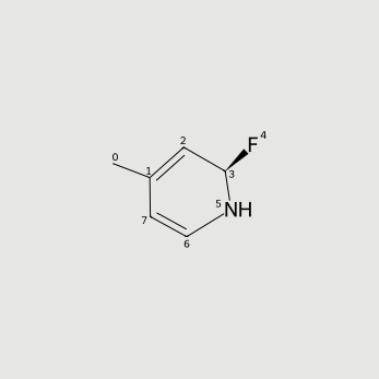 CC1=C[C@@H](F)NC=C1